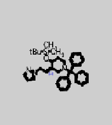 CC(C)(C)[Si](C)(C)OC1CCN(C(c2ccccc2)(c2ccccc2)c2ccccc2)C/C1=C/Cn1cccn1